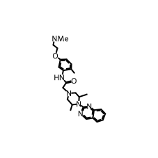 CNCCOc1ccc(C)c(NC(=O)CN2CC(C)N(c3ncc4ccccc4n3)C(C)C2)c1